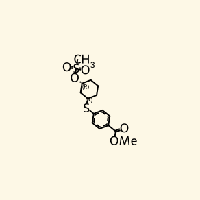 COC(=O)c1ccc(S[C@@H]2CCC[C@@H](OS(C)(=O)=O)C2)cc1